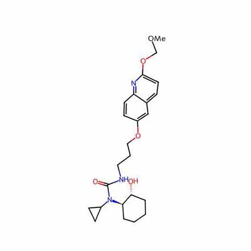 COCOc1ccc2cc(OCCCNC(=O)N(C3CC3)[C@@H]3CCCC[C@H]3O)ccc2n1